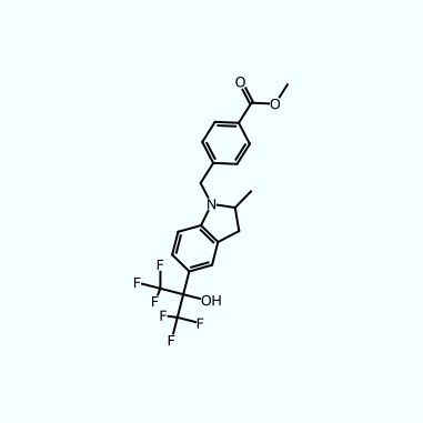 COC(=O)c1ccc(CN2c3ccc(C(O)(C(F)(F)F)C(F)(F)F)cc3CC2C)cc1